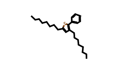 CCCCCCCCc1cc(CCCCCCCC)c(-c2cc[c]cc2)s1